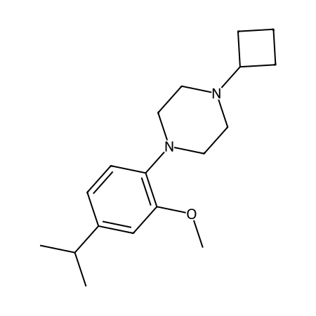 COc1cc(C(C)C)ccc1N1CCN(C2CCC2)CC1